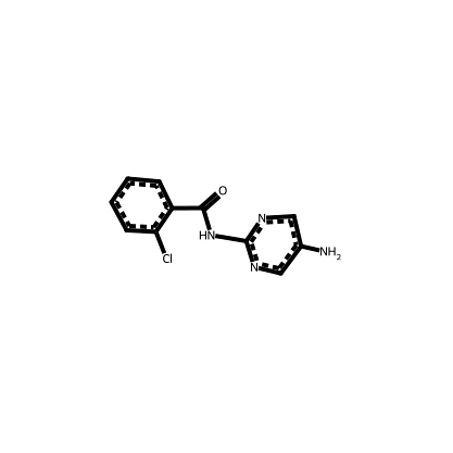 Nc1cnc(NC(=O)c2ccccc2Cl)nc1